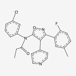 CCC(=O)N(c1cccc(Cl)c1)c1onc(-c2cc(C)ccc2F)c1-c1ccncc1